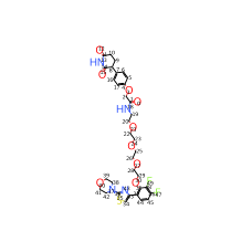 O=C(COc1ccc(C2CCC(=O)NC2=O)cc1)NCCOCCOCCOCCOc1c(-c2csc(N3CCOCC3)n2)ccc(F)c1F